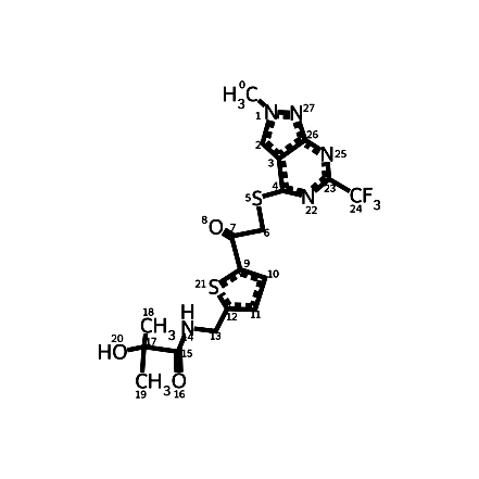 Cn1cc2c(SCC(=O)c3ccc(CNC(=O)C(C)(C)O)s3)nc(C(F)(F)F)nc2n1